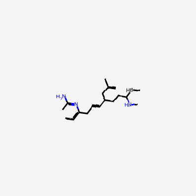 C=C(C)CC(/C=C/CC(=C/C)/N=C(\C)N)CCC(BC)NC